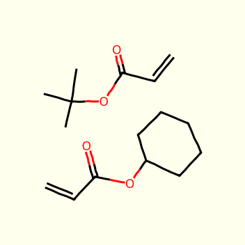 C=CC(=O)OC(C)(C)C.C=CC(=O)OC1CCCCC1